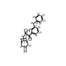 CN(CC1C2CCC1CNC2)C(=O)c1cccc(Cc2ccccc2)c1